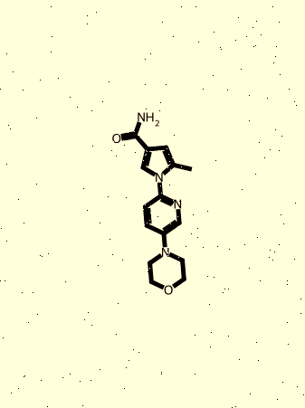 Cc1cc(C(N)=O)cn1-c1ccc(N2CCOCC2)cn1